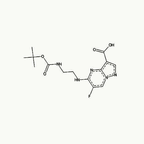 CC(C)(C)OC(=O)NCCNc1nc2c(C(=O)O)cnn2cc1F